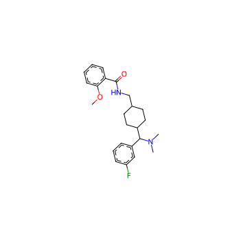 COc1ccccc1C(=O)NCC1CCC(C(c2cccc(F)c2)N(C)C)CC1